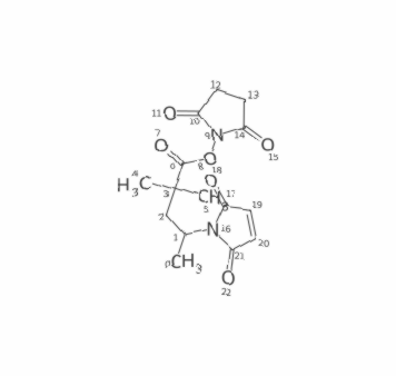 CC(CC(C)(C)C(=O)ON1C(=O)CCC1=O)N1C(=O)C=CC1=O